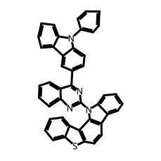 c1ccc(-n2c3ccccc3c3cc(-c4nc(-n5c6ccccc6c6ccc7sc8ccccc8c7c65)nc5ccccc45)ccc32)cc1